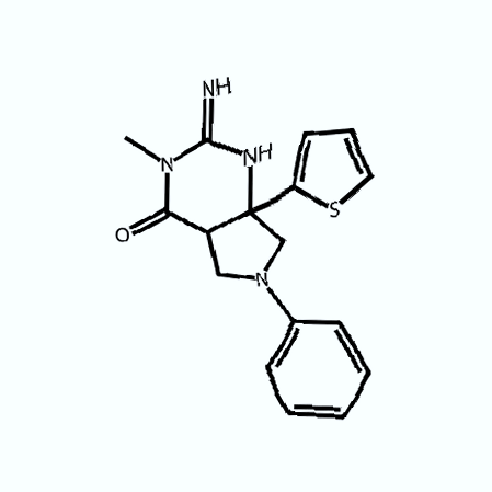 CN1C(=N)NC2(c3cccs3)CN(c3ccccc3)CC2C1=O